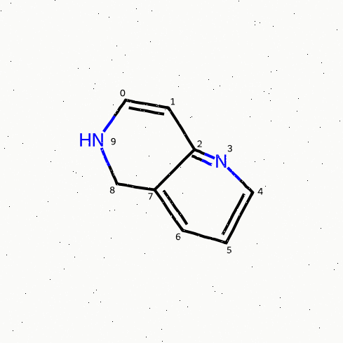 C1=Cc2ncccc2CN1